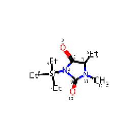 CCC1C(=O)N([Si](CC)(CC)CC)C(=O)N1C